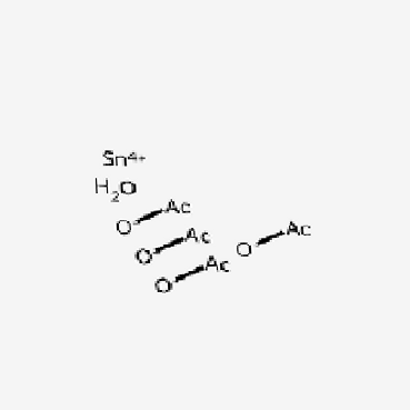 CC(=O)[O-].CC(=O)[O-].CC(=O)[O-].CC(=O)[O-].O.[Sn+4]